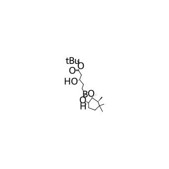 C[C@H]1C(C)(C)CC[C@H]2OB(CC[C@H](O)CC(=O)OC(C)(C)C)O[C@]21C